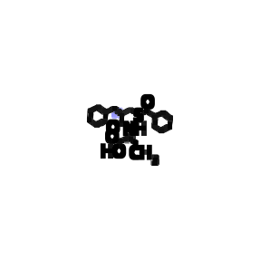 CC[C@H](NC(=O)/C(=C\c1ccccc1)CSC(=O)c1ccccc1)C(=O)O